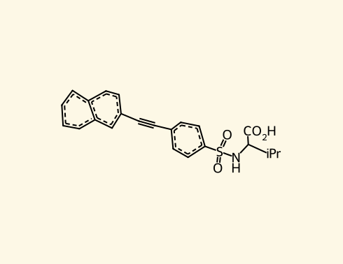 CC(C)C(NS(=O)(=O)c1ccc(C#Cc2ccc3ccccc3c2)cc1)C(=O)O